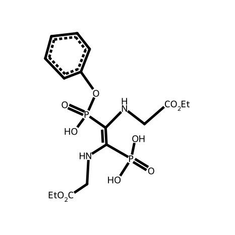 CCOC(=O)CN/C(=C(/NCC(=O)OCC)P(=O)(O)Oc1ccccc1)P(=O)(O)O